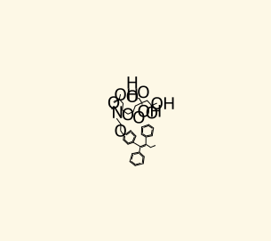 CC/C(=C(\c1ccccc1)c1ccc(OCCN(C)C(CC(=O)O)OC(=O)CC(O)(CC(=O)O)C(=O)O)cc1)c1ccccc1